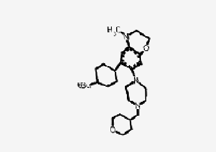 CN1CCOc2cc(N3CCN(CC4CCOCC4)CC3)c(C3CCC(C(C)(C)C)CC3)cc21